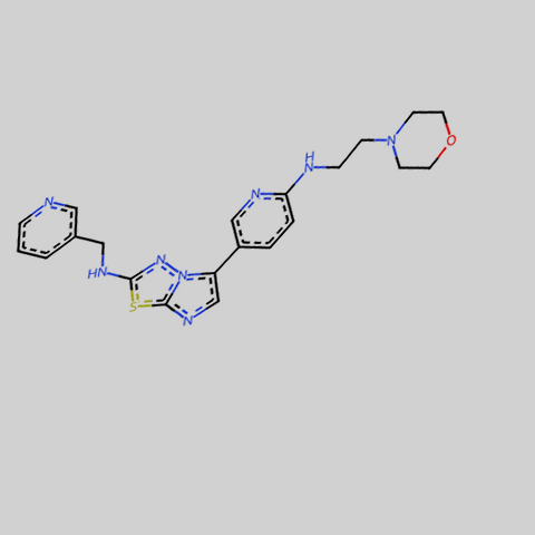 c1cncc(CNc2nn3c(-c4ccc(NCCN5CCOCC5)nc4)cnc3s2)c1